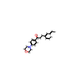 C\C=C/C(=C\C=C\C)CCC(=O)c1ccc(N2CCOCC2)cc1